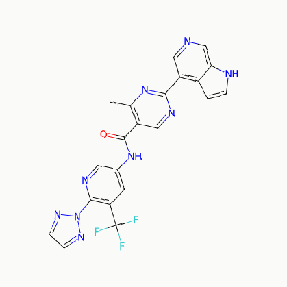 Cc1nc(-c2cncc3[nH]ccc23)ncc1C(=O)Nc1cnc(-n2nccn2)c(C(F)(F)F)c1